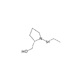 C[CH2][Sn][N]1CCCC1CO